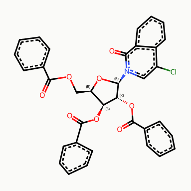 O=C(OC[C@H]1O[C@@H](n2cc(Cl)c3ccccc3c2=O)[C@H](OC(=O)c2ccccc2)[C@H]1OC(=O)c1ccccc1)c1ccccc1